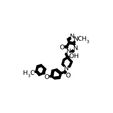 Cc1cccc(Oc2ccc(C(=O)N3CCC(O)(Cn4cnc5c(cnn5C)c4=O)CC3)cc2)c1